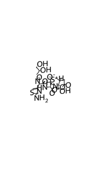 Nc1nc(/C(=N/OC[C@@H](O)CO)C(=O)N[C@@H]2C(=O)N3[C@@H]2[S@@+]([O-])C[C@@H]2CC(=O)O[C@@]23C(=O)O)cs1